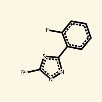 CC(C)c1nnc(-c2ccccc2F)s1